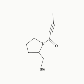 CC#CC(=O)N1CCCC1CC(C)(C)C